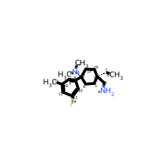 CC[C@]1(CN)CC[C@](c2cc(C)cc(F)c2)(N(C)C)CC1